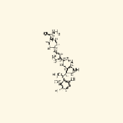 C[C@H](c1c(Cl)ccc(F)c1Cl)c1c[nH]c2ncc(-c3cnn(C4CCN(C(N)=O)CC4)c3)cc12